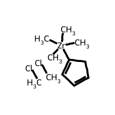 CCl.CCl.[CH3][Zr]([CH3])([CH3])([CH3])[C]1=CC=CC1